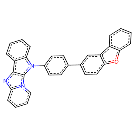 c1ccc2c(c1)oc1ccc(-c3ccc(-n4c5ccccc5c5nc6ccccn6c54)cc3)cc12